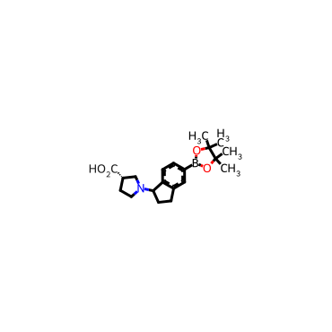 CC1(C)OB(c2ccc3c(c2)CCC3N2CC[C@H](C(=O)O)C2)OC1(C)C